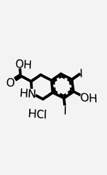 Cl.O=C(O)C1Cc2cc(I)c(O)c(I)c2CN1